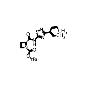 C/C=C\C(=C/C)c1nsc(NC(=O)[C@@H]2CCN2C(=O)OC(C)(C)C)n1